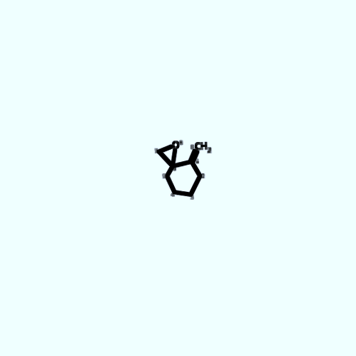 C=C1CCCCC12CO2